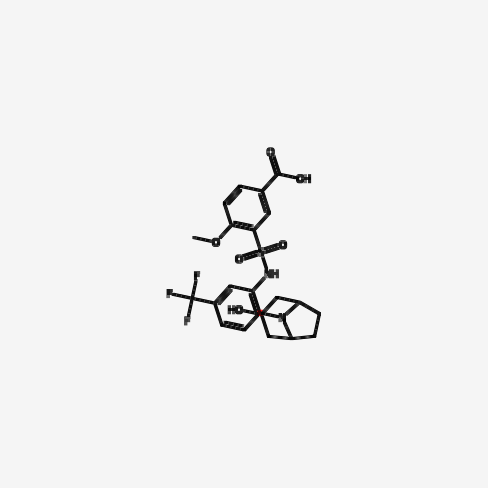 COc1ccc(C(=O)O)cc1S(=O)(=O)Nc1cc(C(F)(F)F)ccc1N1C2CCC1CC(O)C2